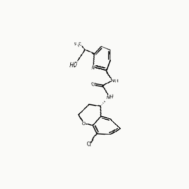 O=C(Nc1cccc(C(O)C(F)(F)F)n1)N[C@H]1CCOc2c(Cl)cccc21